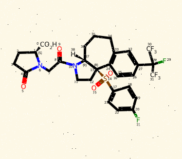 O=C(O)[C@@H]1CCC(=O)N1CC(=O)N1CC[C@@]2(S(=O)(=O)c3ccc(F)cc3)c3ccc(C(F)(C(F)(F)F)C(F)(F)F)cc3CCC[C@@H]12